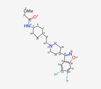 COCC(=O)NC1CCC(CCN2CCC(c3noc4cc(F)c(F)cc34)CC2)CC1